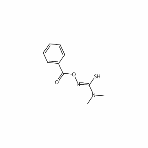 CN(C)/C(S)=N/OC(=O)c1ccccc1